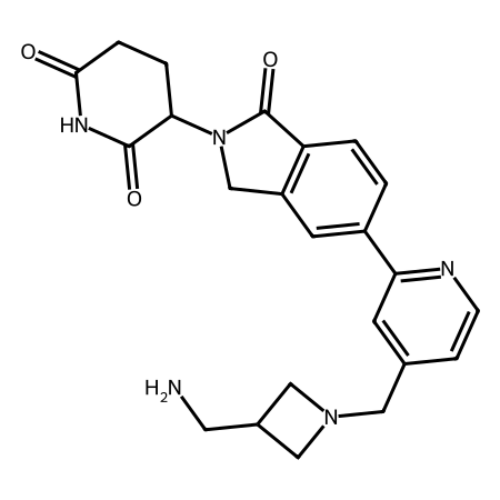 NCC1CN(Cc2ccnc(-c3ccc4c(c3)CN(C3CCC(=O)NC3=O)C4=O)c2)C1